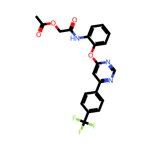 CC(=O)OCC(=O)Nc1ccccc1Oc1cc(-c2ccc(C(F)(F)F)cc2)ncn1